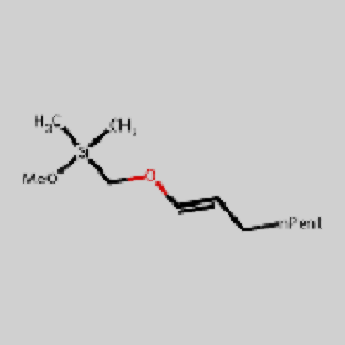 CCCCCCC=COC[Si](C)(C)OC